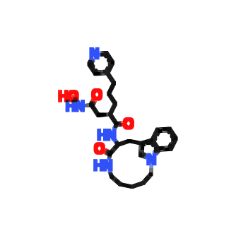 O=C(C[C@@H](CCCc1ccncc1)C(=O)NC1Cc2cn(c3ccccc23)CCCCCNC1=O)NO